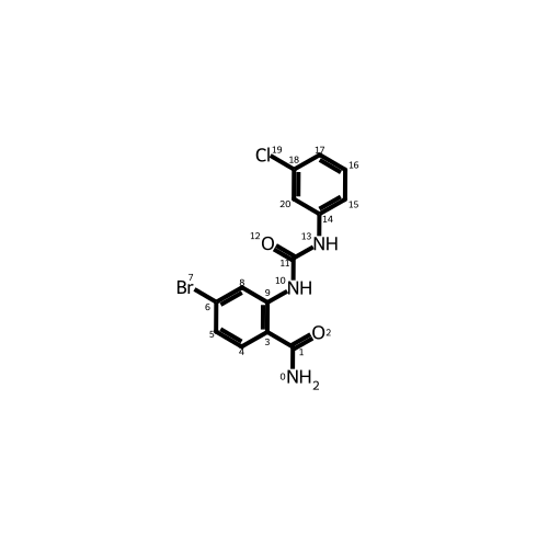 NC(=O)c1ccc(Br)cc1NC(=O)Nc1cccc(Cl)c1